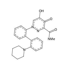 CNC(=O)c1nn(-c2ccccc2-c2ccccc2N2CCCCC2)cc(O)c1=O